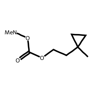 CNOC(=O)OCCC1(C)CC1